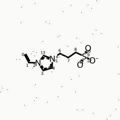 C=Cn1cc[n+](CCCS(=O)(=O)[O-])c1